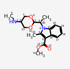 CNC1COC([C@@H](C)n2c(C)c(C(=O)OC)c3ccccc32)OC1